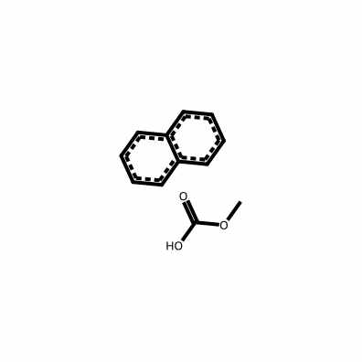 COC(=O)O.c1ccc2ccccc2c1